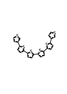 c1cc(-c2ccc(-c3ccc(-c4ccc(-c5ccc(-c6ccsc6)s5)s4)s3)s2)cs1